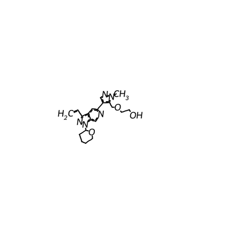 C=Cc1nn(C2CCCCO2)c2cnc(-c3cnn(C)c3COCCO)cc12